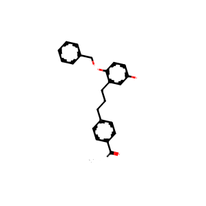 COC(=O)c1ccc(CCCc2cc(O)ccc2OCc2ccccc2)cc1